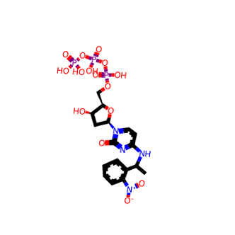 CC(Nc1ccn([C@H]2C[C@@H](O)[C@@H](COP(=O)(O)OP(=O)(O)OP(=O)(O)O)O2)c(=O)n1)c1ccccc1[N+](=O)[O-]